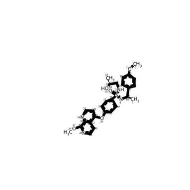 COc1ccc([C@@H](C)N=S(=O)(NC[C@@H](C)O)c2ccc(Oc3ccnc4c(OC)nccc34)cc2)cc1